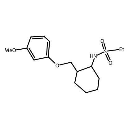 CCS(=O)(=O)NC1CCCCC1COc1cccc(OC)c1